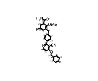 COc1c(Cc2ccc(-c3nccc(OCc4ccccc4)c3C#N)cc2)cc(F)cc1C(N)=O